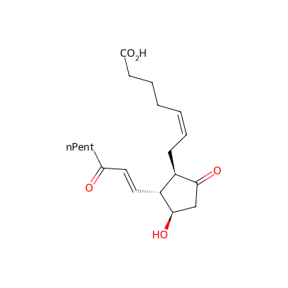 CCCCCC(=O)/C=C/[C@H]1[C@H](O)CC(=O)[C@@H]1C/C=C\CCCC(=O)O